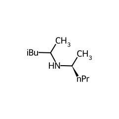 CCC[C@H](C)NC(C)C(C)CC